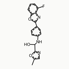 Cc1cnc(C(O)Nc2ccc(-c3nc4c(F)cccc4o3)cc2)o1